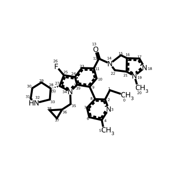 CCc1nc(C)ccc1-c1cc(C(=O)N2Cc3cnn(C)c3C2)cc2c(F)c([C@H]3CCCNC3)n(CC3CC3)c12